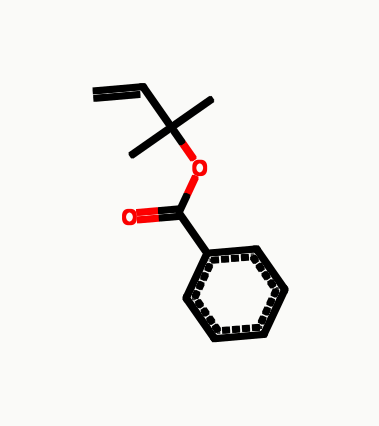 C=CC(C)(C)OC(=O)c1ccccc1